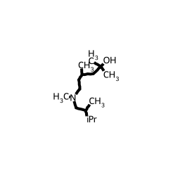 CC(CCN(C)CC(C)C(C)C)CC(C)(C)O